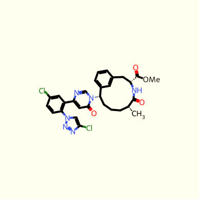 COC(=O)[C@H]1Cc2cccc(c2)[C@@H](n2cnc(-c3cc(Cl)ccc3-n3cc(Cl)nn3)cc2=O)CCC[C@@H](C)C(=O)N1